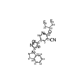 N#Cc1cc(-c2nc(N3CCc4ccccc43)no2)cnc1OC(CF)CF